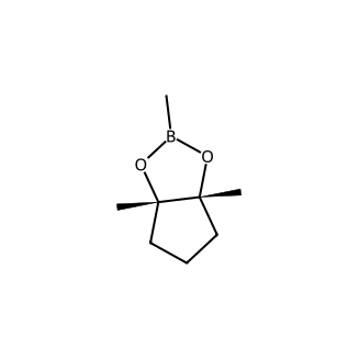 CB1O[C@]2(C)CCC[C@]2(C)O1